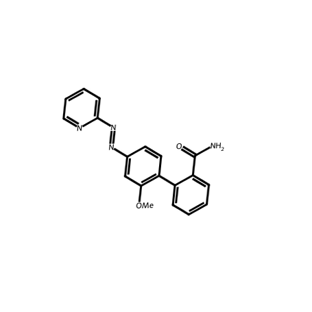 COc1cc(N=Nc2ccccn2)ccc1-c1ccccc1C(N)=O